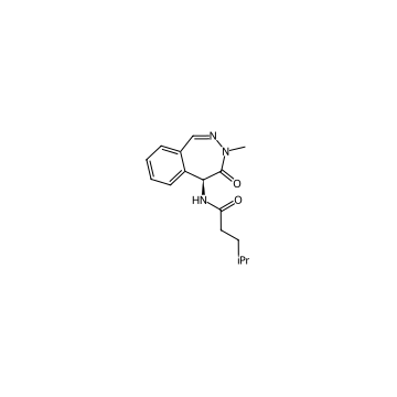 CC(C)CCC(=O)N[C@@H]1C(=O)N(C)N=Cc2ccccc21